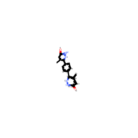 Cc1cc(=O)[nH]nc1-c1ccc(-c2n[nH]c(=O)cc2C)cc1